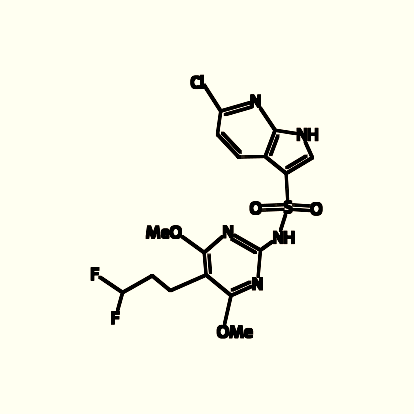 COc1nc(NS(=O)(=O)c2c[nH]c3nc(Cl)ccc23)nc(OC)c1CCC(F)F